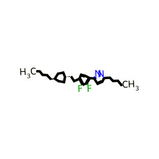 CCCCCc1ccc(-c2ccc(CC[C@H]3CC[C@H](CCCCC)CC3)c(F)c2F)nn1